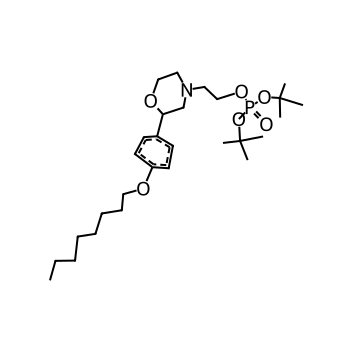 CCCCCCCCOc1ccc(C2CN(CCOP(=O)(OC(C)(C)C)OC(C)(C)C)CCO2)cc1